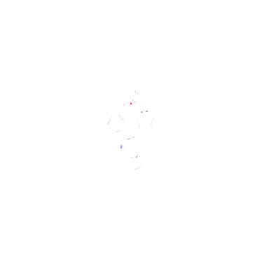 NC(=O)c1ccccc1-c1c(B(O)O)cccc1C(=O)Nc1nccs1